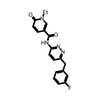 CCn1cc(C(=O)Nc2ccc(Cc3cccc(F)c3)nn2)ccc1=O